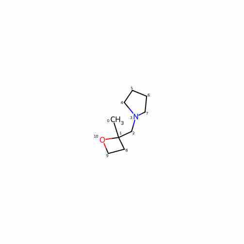 CC1(CN2CCCC2)CCO1